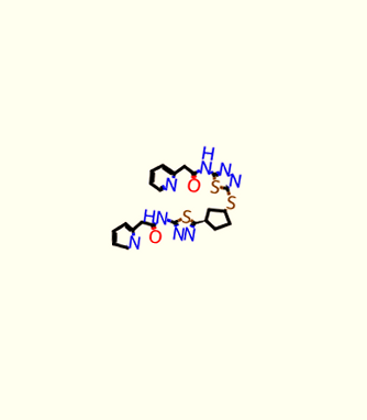 O=C(Cc1ccccn1)Nc1nnc(S[C@H]2CC[C@@H](c3nnc(NC(=O)Cc4ccccn4)s3)C2)s1